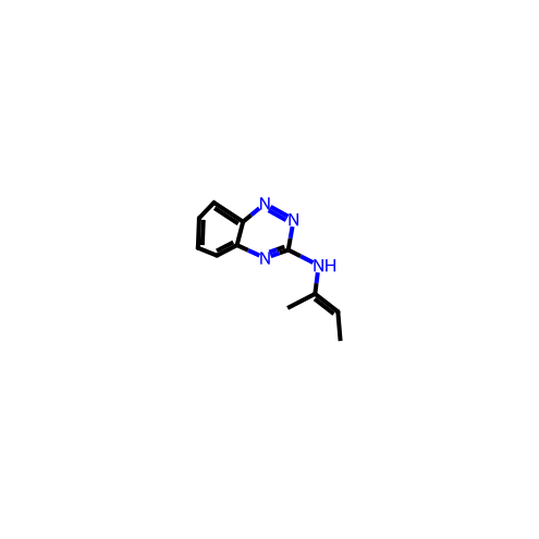 C/C=C(\C)Nc1nnc2ccccc2n1